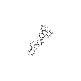 C1=CC2SC3C(=CC=CC3c3cccc(C4=CC5c6ccccc6C6=C(C=CCC6)C5C=C4)c3)C2C=C1